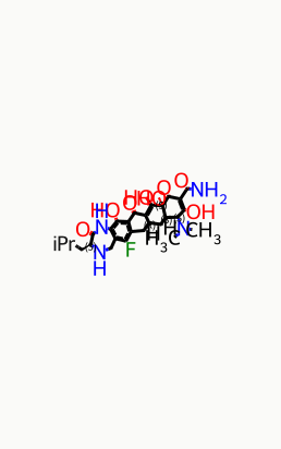 CC(C)C[C@@H]1NCc2c(F)c3c(c(O)c2NC1=O)C(=O)C1=C(O)[C@]2(O)C(=O)C(C(N)=O)=C(O)[C@@H](N(C)C)[C@@H]2C[C@@H]1C3